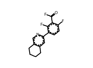 O=C(F)c1c(F)ccc(-c2cc3c(cn2)CCCC3)c1F